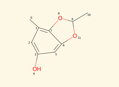 Cc1cc(O)cc2c1OC(C)O2